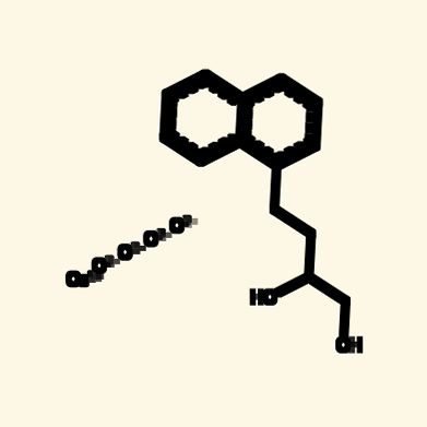 OCC(O)CCc1cccc2ccccc12.[O-2].[O-2].[O-2].[O-2].[Os+8]